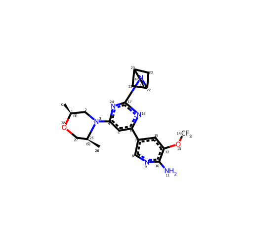 C[C@H]1CN(c2cc(-c3cnc(N)c(OC(F)(F)F)c3)nc(N3CC4CC3C4)n2)[C@@H](C)CO1